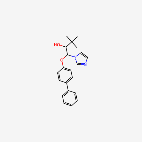 CC(C)(C)C(O)C(Oc1ccc(-c2ccccc2)cc1)n1ccnc1